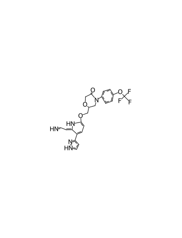 N=C/C=C1\NC(OCC2CN(c3ccc(OC(F)(F)F)cc3)C(=O)CO2)=CC=C1c1cc[nH]n1